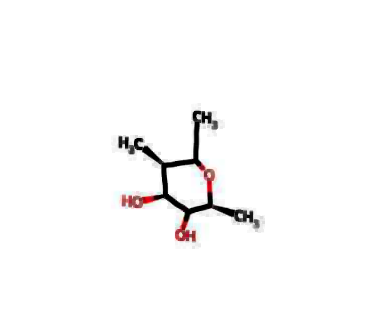 CC1O[C@@H](C)C(O)[C@@H](O)[C@H]1C